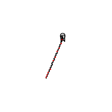 CCCCCCCCCCCCCCCCCCCCCCCCCCCCCCCCCCN=C=O